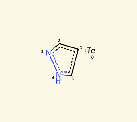 [Te].c1cn[nH]c1